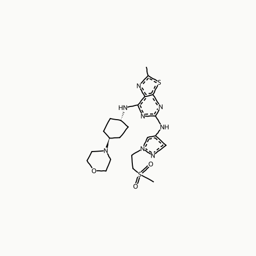 Cc1nc2c(N[C@H]3CC[C@H](N4CCOCC4)CC3)nc(Nc3cnn(CCS(C)(=O)=O)c3)nc2s1